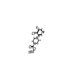 CC(C)(C)OC(=O)N1CCN(c2cncc(F)c2Cl)CC1